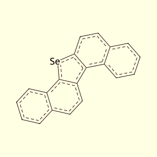 c1ccc2c(c1)ccc1c2[se]c2ccc3ccccc3c21